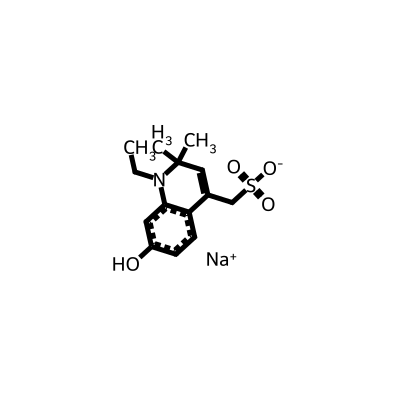 CCN1c2cc(O)ccc2C(CS(=O)(=O)[O-])=CC1(C)C.[Na+]